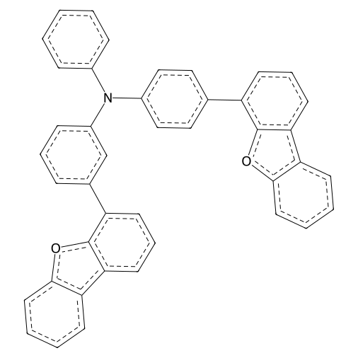 c1ccc(N(c2ccc(-c3cccc4c3oc3ccccc34)cc2)c2cccc(-c3cccc4c3oc3ccccc34)c2)cc1